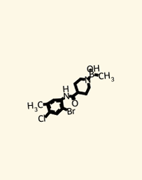 CB(O)N1CCC(C(=O)Nc2cc(C)c(Cl)cc2Br)CC1